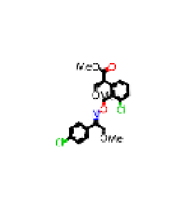 CO/C=C(/C(=O)OC)c1cccc(Cl)c1CO/N=C(\COC)c1ccc(Cl)cc1